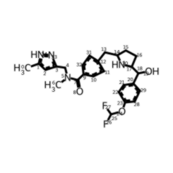 Cc1cc(CN(C)C(=O)c2ccc(CC3CCC(C(O)c4ccc(OC(F)F)cc4)N3)cc2)n[nH]1